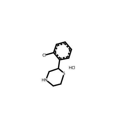 Cl.Clc1ccccc1C1CNCCS1